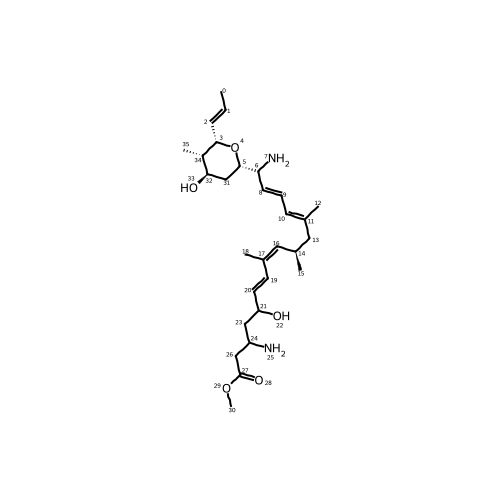 C/C=C/[C@@H]1O[C@H](C(N)/C=C/C=C(\C)C[C@@H](C)/C=C(C)\C=C\C(O)CC(N)CC(=O)OC)C[C@@H](O)[C@@H]1C